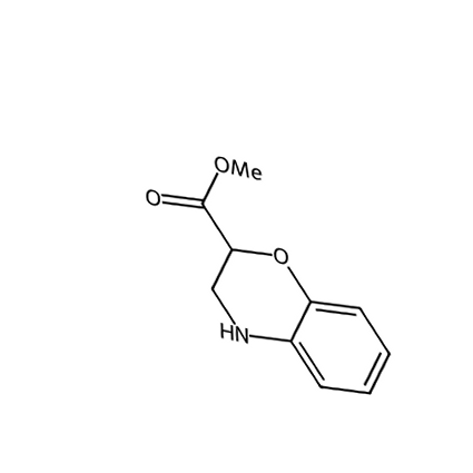 COC(=O)C1CNc2ccccc2O1